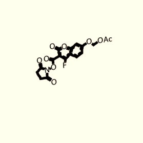 CC(=O)OCOc1ccc2c(F)c(C(=O)ON3C(=O)CCC3=O)c(=O)oc2c1